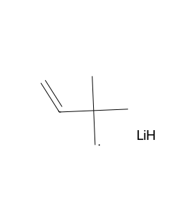 [CH2]C(C)(C)C=C.[LiH]